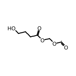 O=[C]OCOC(=O)CCCO